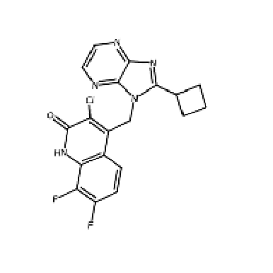 O=c1[nH]c2c(F)c(F)ccc2c(Cn2c(C3CCC3)nc3nccnc32)c1Cl